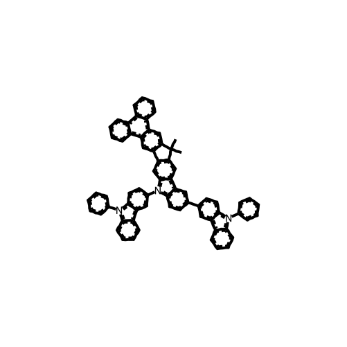 CC1(C)c2cc3c4ccccc4c4ccccc4c3cc2-c2cc3c(cc21)c1cc(-c2ccc4c(c2)c2ccccc2n4-c2ccccc2)ccc1n3-c1ccc2c(c1)c1ccccc1n2-c1ccccc1